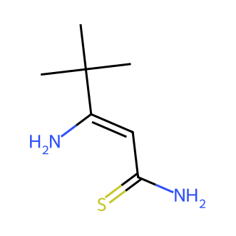 CC(C)(C)/C(N)=C/C(N)=S